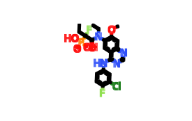 CCN(C(=O)C(F)(CC)P(=O)(O)O)c1cc2c(Nc3ccc(F)c(Cl)c3)ncnc2cc1OC